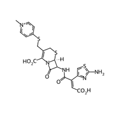 C[n+]1ccc(SCC2=C(C(=O)O)N3C(=O)C(NC(=O)C(=CC(=O)O)c4csc(N)n4)[C@@H]3SC2)cc1